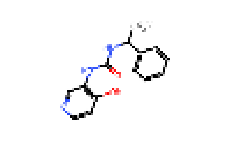 O=C(Nc1cnccc1O)NC(C(=O)O)c1ccccc1